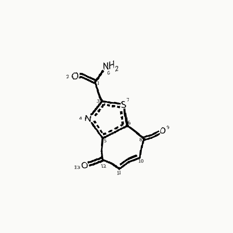 NC(=O)c1nc2c(s1)C(=O)C=CC2=O